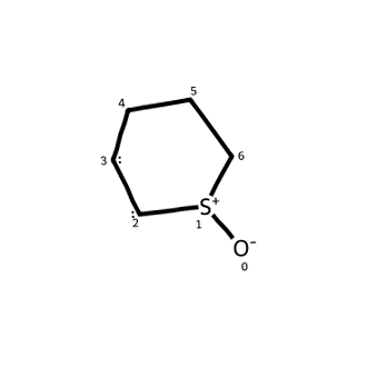 [O-][S+]1[C][C]CCC1